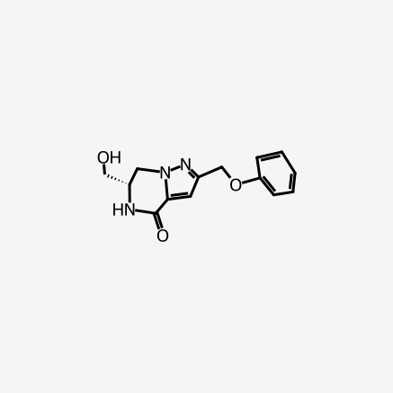 O=C1N[C@H](CO)Cn2nc(COc3ccccc3)cc21